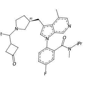 CCC(C1CC(=O)C1)N1CC[C@@H](Cc2cn(-c3ccc(F)cc3C(=O)N(C)C(C)C)c3cncc(C)c23)C1